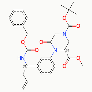 C=CC[C@H](NC(=O)OCc1ccccc1)c1cccc(N2C(=O)CN(C(=O)OC(C)(C)C)C[C@@H]2C(=O)OC)c1